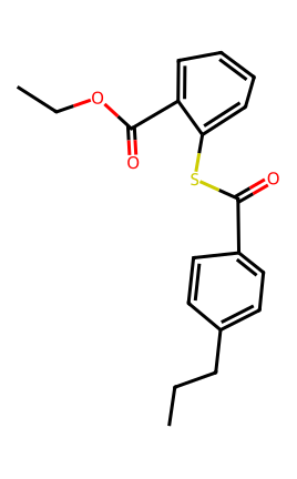 CCCc1ccc(C(=O)Sc2ccccc2C(=O)OCC)cc1